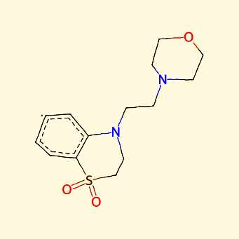 O=S1(=O)CCN(CCN2CCOCC2)c2c[c]ccc21